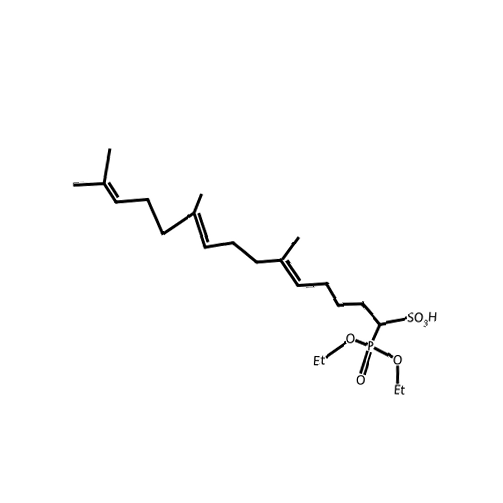 CCOP(=O)(OCC)C(CCC/C=C(\C)CC/C=C(\C)CCC=C(C)C)S(=O)(=O)O